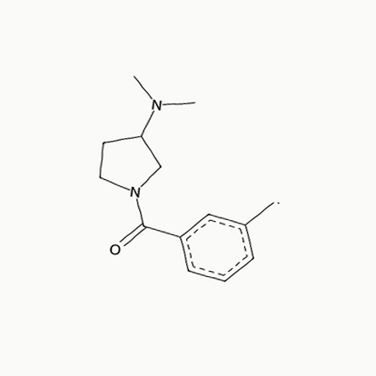 [CH2]c1cccc(C(=O)N2CCC(N(C)C)C2)c1